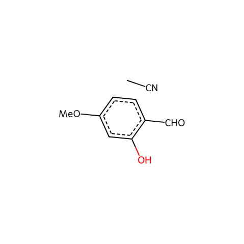 CC#N.COc1ccc(C=O)c(O)c1